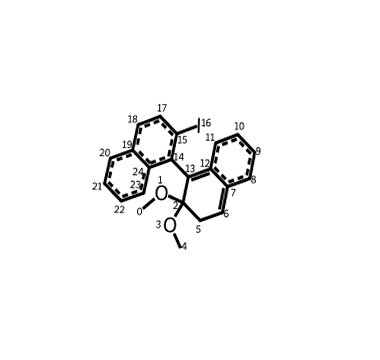 COC1(OC)CC=c2ccccc2=C1c1c(I)ccc2ccccc12